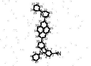 N#Cc1ccc2c(c1)c1cc(-c3cc4ccc5cc(-c6cccc(-c7ccccc7)n6)cc6ccc(c3)c4c56)ccc1n2-c1ccccc1